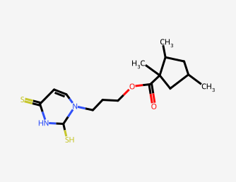 CC1CC(C)C(C)(C(=O)OCCCN2C=CC(=S)NC2S)C1